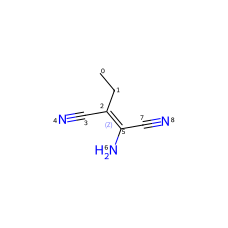 CC/C(C#N)=C(/N)C#N